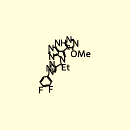 CCC(c1cn(-c2ccc(F)c(F)c2)nn1)n1cc(-c2cncnc2OC)c2c(N)ncnc21